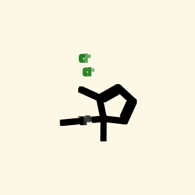 [CH3][Ti+2][C]1(C)C=CC=C1C.[Cl-].[Cl-]